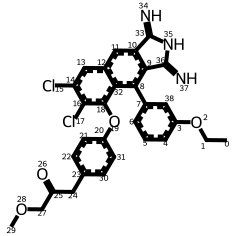 CCOc1cccc(-c2c3c(cc4cc(Cl)c(Cl)c(Oc5ccc(CC(=O)COC)cc5)c24)C(=N)NC3=N)c1